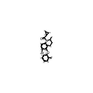 CC1CCc2c(ccc(Br)c2Oc2ccccc2F)N1C(=O)C1CC1